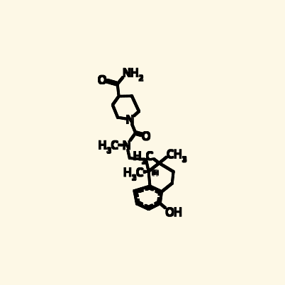 CN(CC[C@@]1(C)c2cccc(O)c2CCC1(C)C)C(=O)N1CCC(C(N)=O)CC1